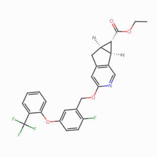 CCOC(=O)[C@H]1[C@@H]2Cc3cc(OCc4cc(Oc5ccccc5C(F)(F)F)ccc4F)ncc3[C@@H]21